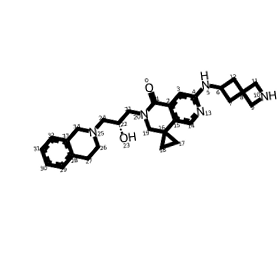 O=C1c2cc(NC3CC4(CNC4)C3)ncc2C2(CC2)CN1C[C@H](O)CN1CCc2ccccc2C1